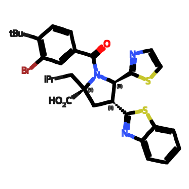 CC(C)C[C@@]1(C(=O)O)C[C@@H](c2nc3ccccc3s2)[C@H](c2nccs2)N1C(=O)c1ccc(C(C)(C)C)c(Br)c1